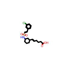 O=C(O)CCCC=CC1CCCC(NS(=O)(=O)C=Cc2cccc(Cl)c2)C1